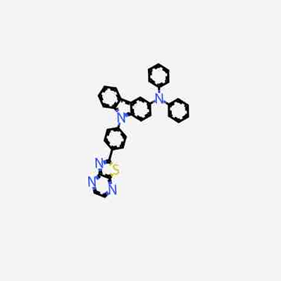 c1ccc(N(c2ccccc2)c2ccc3c(c2)c2ccccc2n3-c2ccc(-c3nc4nccnc4s3)cc2)cc1